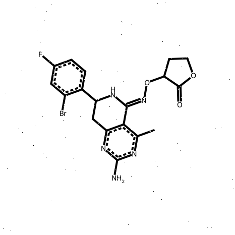 Cc1nc(N)nc2c1C(=NOC1CCOC1=O)NC(c1ccc(F)cc1Br)C2